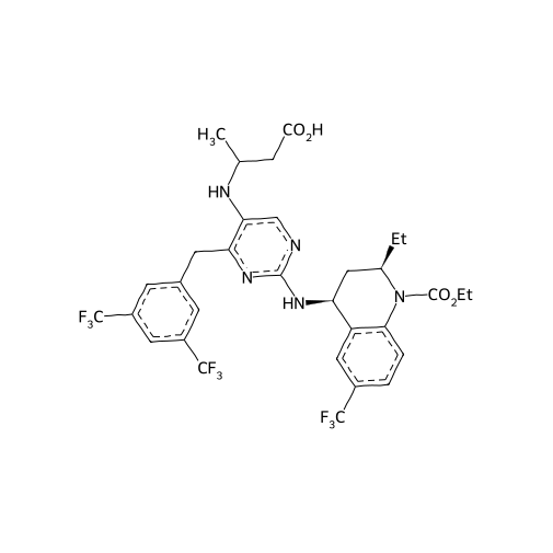 CCOC(=O)N1c2ccc(C(F)(F)F)cc2[C@@H](Nc2ncc(NC(C)CC(=O)O)c(Cc3cc(C(F)(F)F)cc(C(F)(F)F)c3)n2)C[C@H]1CC